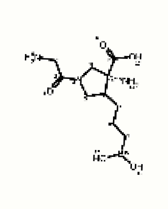 NCC(=O)N1CC(CCCB(O)O)[C@](N)(C(=O)O)C1